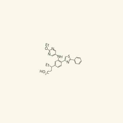 CCOc1ncc(Nc2cc(C(CC)CC(=O)O)ccc2-c2csc(-c3ccccc3)n2)cn1